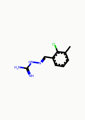 Cc1cccc(/C=N/NC(=N)N)c1Cl